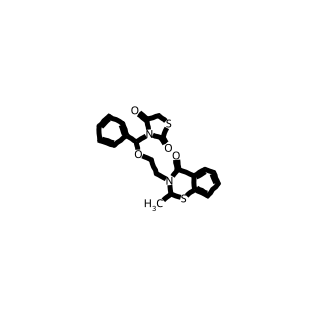 CC1Sc2ccccc2C(=O)N1CCOC(c1ccccc1)N1C(=O)CSC1=O